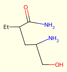 CCC(CC(N)CO)C(N)=O